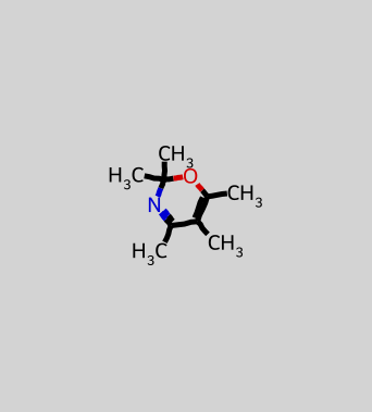 CC1=NC(C)(C)OC(C)=C1C